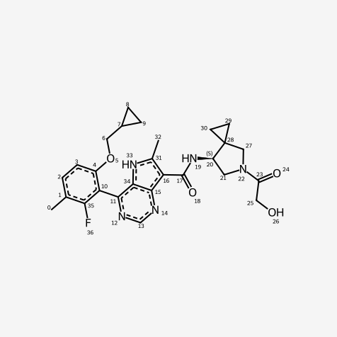 Cc1ccc(OCC2CC2)c(-c2ncnc3c(C(=O)N[C@@H]4CN(C(=O)CO)CC45CC5)c(C)[nH]c23)c1F